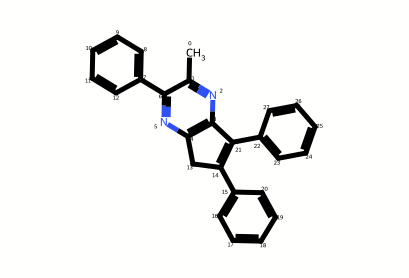 Cc1nc2c(nc1-c1ccccc1)CC(c1ccccc1)=C2c1ccccc1